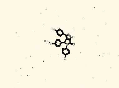 COc1ccc(C2c3c(-c4ccc(Br)cc4)n[nH]c3C(=O)N2c2ccc(Cl)cc2)cc1